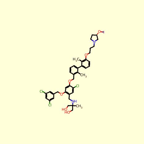 Cc1c(COc2cc(OCc3cc(Cl)cc(Cl)c3)c(CNC(C)(CO)CO)cc2Cl)cccc1-c1cccc(OCCCN2CC[C@@H](OI)C2)c1C